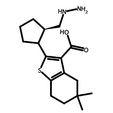 CC1(C)CCc2sc(C3CCC[C@H]3CNN)c(C(=O)O)c2C1